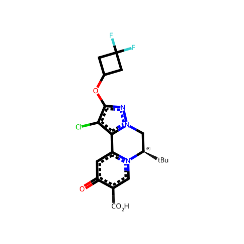 CC(C)(C)[C@@H]1Cn2nc(OC3CC(F)(F)C3)c(Cl)c2-c2cc(=O)c(C(=O)O)cn21